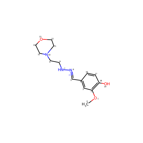 COc1cc(/C=N/NCCN2CCOCC2)ccc1O